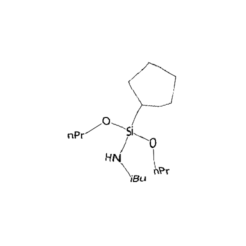 CCCO[Si](NC(C)CC)(OCCC)C1CCCC1